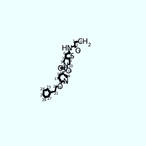 C=CC(=O)Nc1cc2c(s1)CN(S(=O)(=O)c1ccc(OCCc3ccccc3)nc1)C2